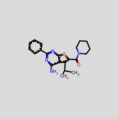 CC(C)c1c(C(=O)N2CCCCC2)sc2nc(-c3ccccc3)nc(N)c12